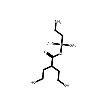 CC(=O)O[Si](CCN)(OC(C)=O)OC(=O)C(CCO)CCO